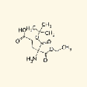 CCOC(=O)C(N)(CCC(=O)O)C(=O)OC(C)(C)C